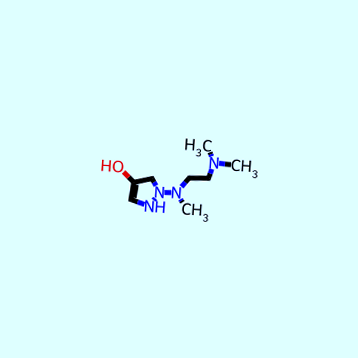 CN(C)CCN(C)N1CC(O)=CN1